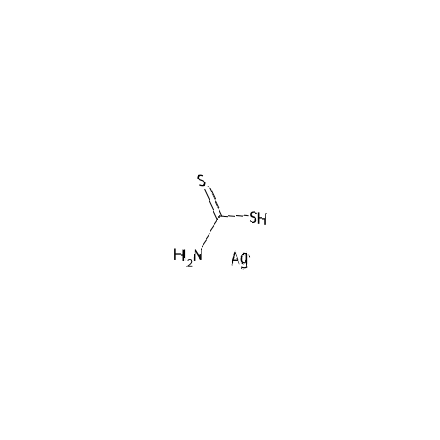 NC(=S)S.[Ag]